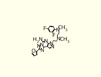 CN(CCN(C)c1ccc(F)cc1F)CCn1ncc2c1nc(N)n1nc(-c3ccco3)nc21